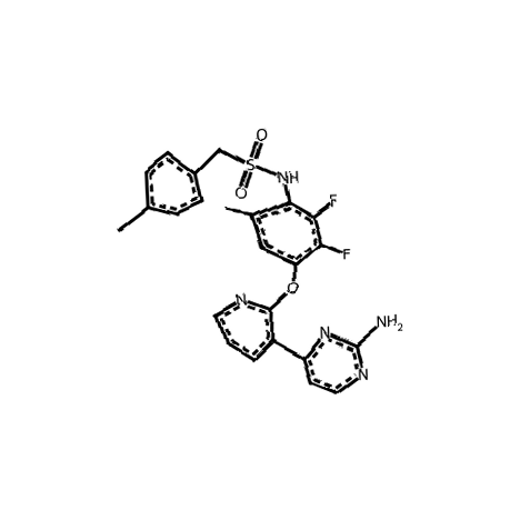 Cc1ccc(CS(=O)(=O)Nc2c(C)cc(Oc3ncccc3-c3ccnc(N)n3)c(F)c2F)cc1